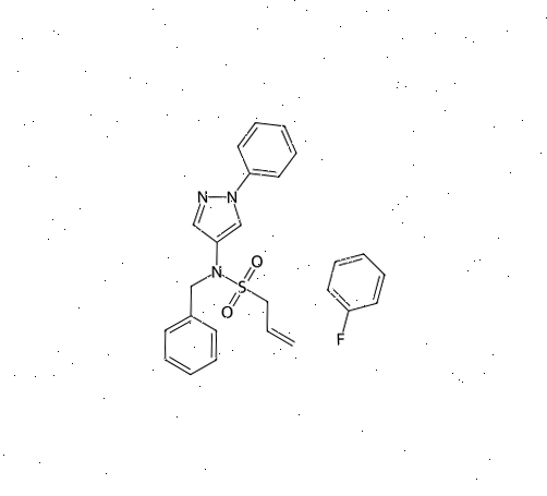 C=CCS(=O)(=O)N(Cc1ccccc1)c1cnn(-c2ccccc2)c1.Fc1ccccc1